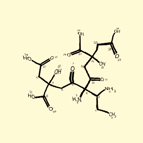 CCC(N)C(N)(C(=O)CC(O)(CC(=O)O)C(=O)O)C(=O)CC(O)(CC(=O)O)C(=O)O